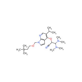 CC(C)c1cnc2c(ccn2COCC[Si](C)(C)C)c1OC(C#N)C(N(C)C)N(C)C